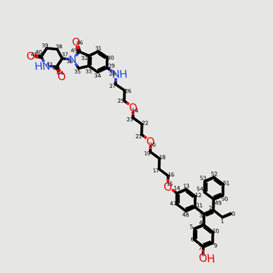 CCC(=C(c1ccc(O)cc1)c1ccc(OCCCCOCCCOCCCNc2ccc3c(c2)CN(C2CCC(=O)NC2=O)C3=O)cc1)c1ccccc1